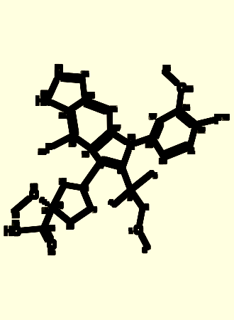 COCC(C)(C)c1c(C2CC[C@@](OC)(C(=O)O)C2)c2c(F)c3[nH]ncc3cc2n1-c1ccc(F)c(OC)c1